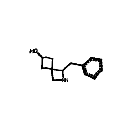 OC1CC2(CNC2Cc2ccccc2)C1